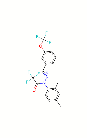 Cc1ccc(N(/N=C/c2cccc(OC(F)(F)F)c2)C(=O)C(F)(F)F)c(C)c1